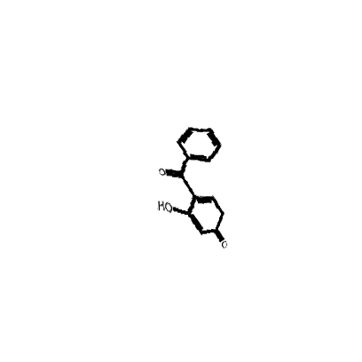 O=C1C=C(O)C(C(=O)c2ccccc2)=CC1